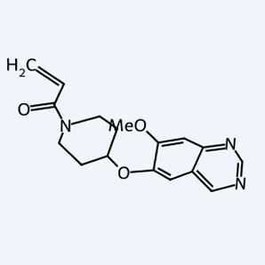 C=CC(=O)N1CCC(Oc2cc3cncnc3cc2OC)CC1